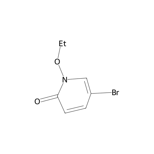 CCOn1cc(Br)ccc1=O